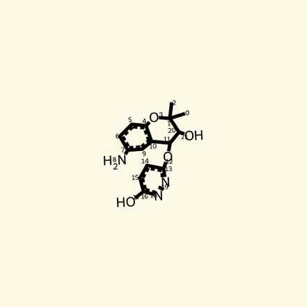 CC1(C)Oc2ccc(N)cc2C(Oc2ccc(O)nn2)C1O